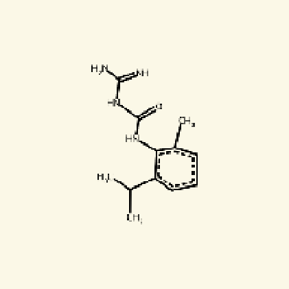 Cc1cccc(C(C)C)c1NC(=O)NC(=N)N